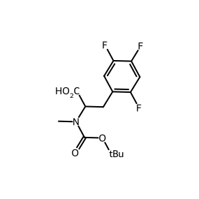 CN(C(=O)OC(C)(C)C)C(Cc1cc(F)c(F)cc1F)C(=O)O